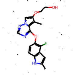 Cc1cc2c(F)c(Oc3ncnn4cc(OCCO)c(C)c34)ccc2[nH]1